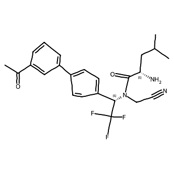 CC(=O)c1cccc(-c2ccc([C@H](N(CC#N)C(=O)[C@@H](N)CC(C)C)C(F)(F)F)cc2)c1